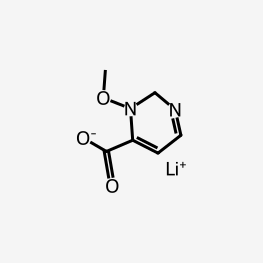 CON1CN=CC=C1C(=O)[O-].[Li+]